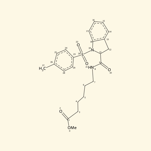 COC(=O)CCCCCNC(=O)C1Cc2ccccc2N1S(=O)(=O)c1ccc(C)cc1